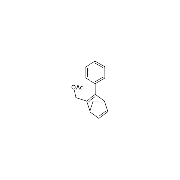 CC(=O)OCC1=C(c2ccccc2)C2C=CC1C2